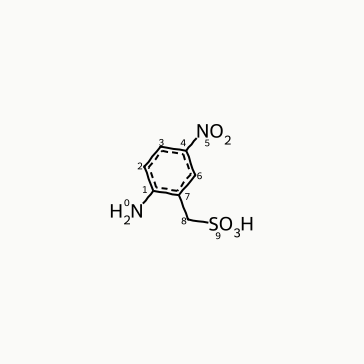 Nc1ccc([N+](=O)[O-])cc1CS(=O)(=O)O